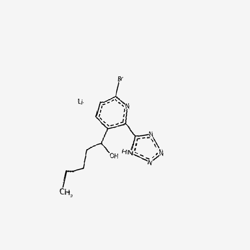 CCCCC(O)c1ccc(Br)nc1-c1nnn[nH]1.[Li]